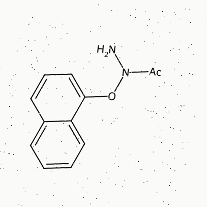 CC(=O)N(N)Oc1cccc2ccccc12